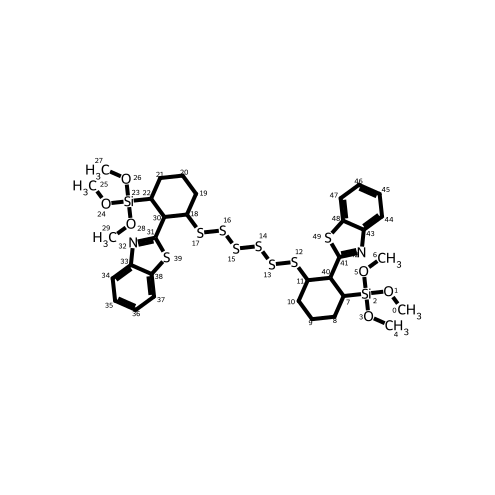 CO[Si](OC)(OC)C1CCCC(SSSSSSC2CCCC([Si](OC)(OC)OC)C2c2nc3ccccc3s2)C1c1nc2ccccc2s1